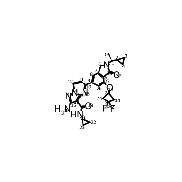 C[C@@H](C1CC1)N1Cc2cc(-c3ccn4nc(N)c(C(=O)NC5CC5)c4n3)cc(OC3CC(F)(F)C3)c2C1=O